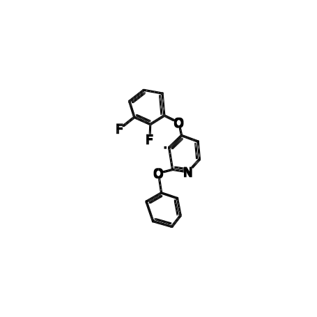 Fc1cccc(Oc2[c]c(Oc3ccccc3)ncc2)c1F